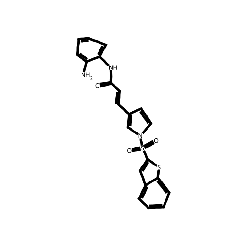 Nc1ccccc1NC(=O)C=Cc1ccn(S(=O)(=O)c2cc3ccccc3s2)c1